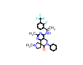 Cc1nc(N[C@H](C)c2cccc(C(F)(F)F)c2F)c2c(n1)C1(CCN(C)C1)C(=O)N(c1ccccc1)C2